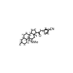 CNC1CC2(C)C(C(=O)Cn3cc(C#N)cn3)CCC2C2CCC3CC(C)CCC3[C@@H]12